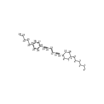 CCCCCC[C@H]1CC[C@H](C#C/C=C/C#Cc2ccc(CCCCC)cc2)CC1